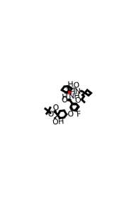 CC(C)Oc1cc(F)c(O[C@H]2CC[C@@](CO)(C(=O)OC(C)(C)C)CC2)cc1C(=O)N[C@@H]1[C@H]2CC[C@H](C2)[C@@H]1C(=O)NCC1(C)CCC1